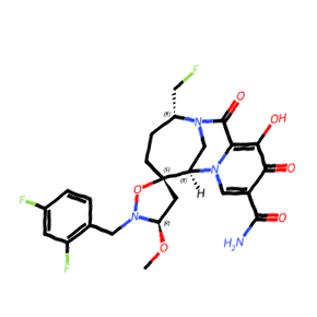 CO[C@@H]1C[C@]2(CC[C@H](CF)N3C[C@H]2n2cc(C(N)=O)c(=O)c(O)c2C3=O)ON1Cc1ccc(F)cc1F